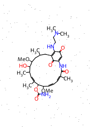 COC1C=CC=C(C)C(=O)NC2=CC(=O)C(NCCN(C)C)=C(CC(C)CC(OC)C(O)C(C)C=C(C)C1OC(N)=O)C2=O